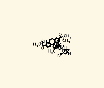 CNC(=N)C1(C[C@@H](C)NCC(=O)N2C(C#N)C[C@@H]3C[C@@H]32)c2ccc(C(=O)N(C)C)cc2CCc2cc(C(=O)N(C)C)ccc21